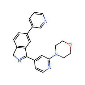 c1cncc(-c2ccc3c(c2)C(c2ccnc(N4CCOCC4)c2)=NC3)c1